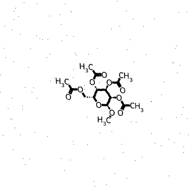 CO[C@H]1O[C@H](COC(C)=O)[C@H](OC(C)=O)[C@@H](OC(C)=O)[C@H]1OC(C)=O